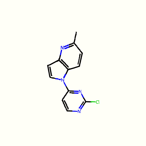 Cc1ccc2c(ccn2-c2ccnc(Cl)n2)n1